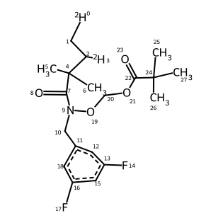 [2H]CC([2H])C(C)(C)C(=O)N(Cc1cc(F)cc(F)c1)OCOC(=O)C(C)(C)C